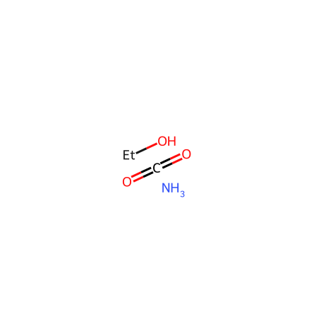 CCO.N.O=C=O